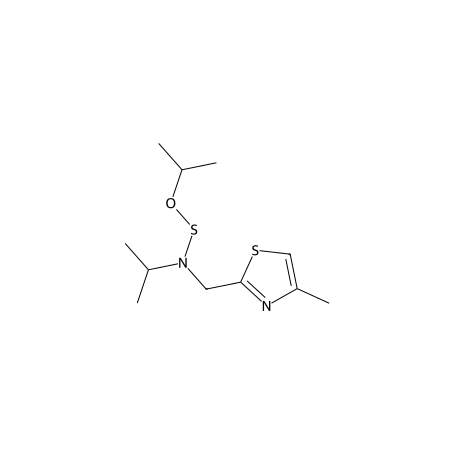 Cc1csc(CN(SOC(C)C)C(C)C)n1